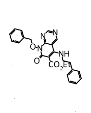 CCOC(=O)c1c(NCCc2ccccc2)c2cncnc2n(OCc2ccccc2)c1=O